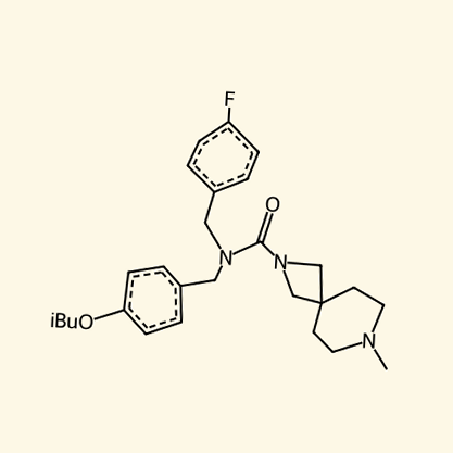 CC(C)COc1ccc(CN(Cc2ccc(F)cc2)C(=O)N2CC3(CCN(C)CC3)C2)cc1